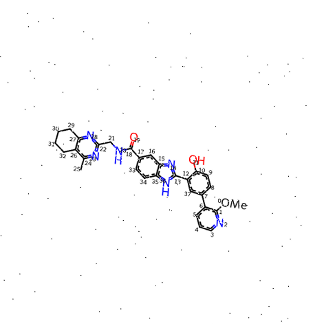 COc1ncccc1-c1ccc(O)c(-c2nc3cc(C(=O)NCc4nc(C)c5c(n4)CCCC5)ccc3[nH]2)c1